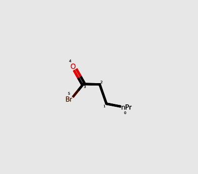 CCCCCC(=O)Br